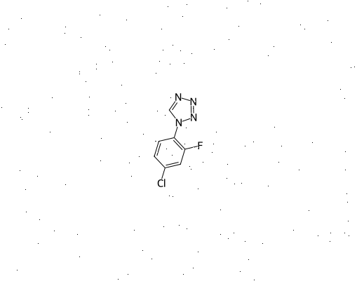 Fc1cc(Cl)c[c]c1-n1cnnn1